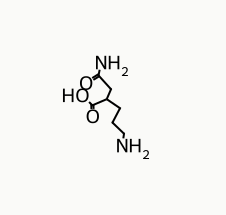 NCCCC(CC(N)=O)C(=O)O